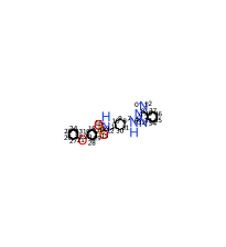 CN(C)c1nc(NC[C@H]2CC[C@H](CNS(=O)(=O)c3ccc(Oc4ccccc4)cc3)CC2)nc2ccccc12